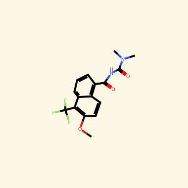 COc1ccc2c(C(=O)NC(=O)N(C)C)cccc2c1C(F)(F)F